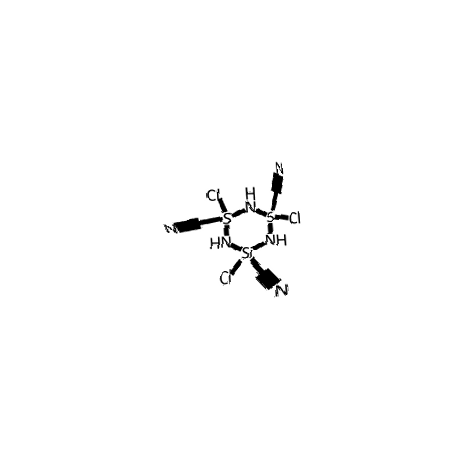 N#C[Si]1(Cl)NS(Cl)(C#N)NS(Cl)(C#N)N1